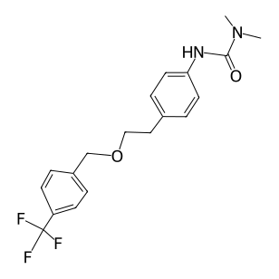 CN(C)C(=O)Nc1ccc(CCOCc2ccc(C(F)(F)F)cc2)cc1